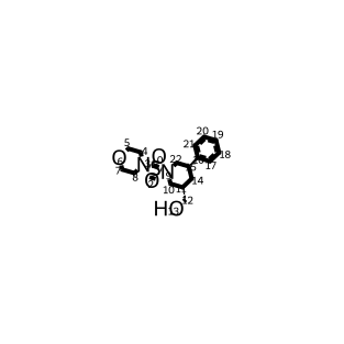 O=S(=O)(N1CCOCC1)N1C[C@@H](CO)C[C@H](c2ccccc2)C1